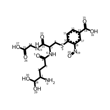 NC(CCC(=O)NC(CSc1ccc(C(=O)O)cc1N=O)C(=O)NCC(=O)O)C(O)O